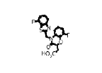 O=C(O)CC1Oc2c(F)cccc2N(Cc2nc3cccc(F)c3s2)C1=O